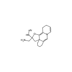 CCCNC1(CN)CC23CCCCC2=CN2C=CCCC2=C3O1